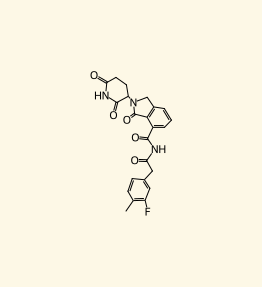 Cc1ccc(CC(=O)NC(=O)c2cccc3c2C(=O)N(C2CCC(=O)NC2=O)C3)cc1F